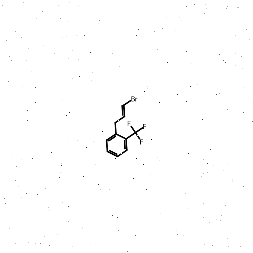 FC(F)(F)c1ccccc1CC=CBr